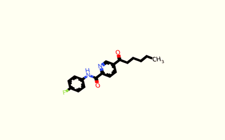 CCCCCC(=O)c1ccc(C(=O)Nc2ccc(F)cc2)nc1